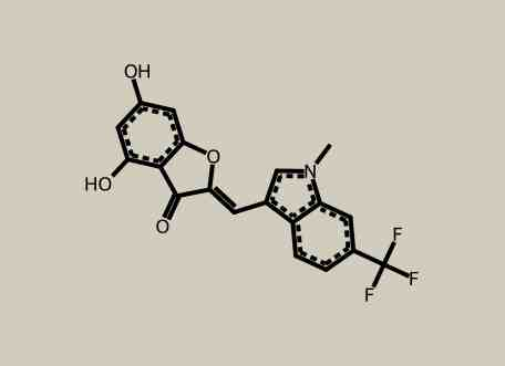 Cn1cc(C=C2Oc3cc(O)cc(O)c3C2=O)c2ccc(C(F)(F)F)cc21